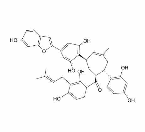 CC(C)=CCC1=C(O)C(C(=O)[C@H]2C[C@@H](c3c(O)cc(-c4cc5ccc(O)cc5o4)cc3O)C=C(C)C[C@@H]2c2ccc(O)cc2O)CC=C1O